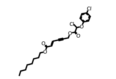 CCCCCCCCOC(=O)C=CC#CCOC(=O)C(Cl)Oc1ccc(Cl)cc1